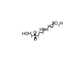 O=S(=O)(CCO)CCCNCCOS(=O)(=O)O